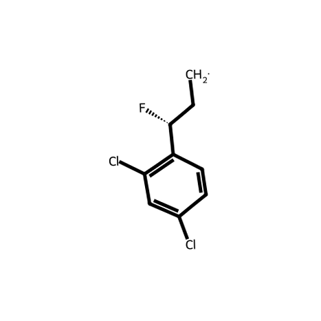 [CH2]C[C@@H](F)c1ccc(Cl)cc1Cl